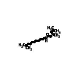 CC(C)CCCCCCCCCNC(=O)CN(C)CC(C)C